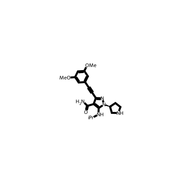 COc1cc(C#Cc2nn([C@H]3CCNC3)c(NC(C)C)c2C(N)=O)cc(OC)c1